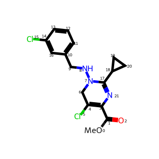 COC(=O)C1=C(Cl)CN(NCc2cccc(Cl)c2)C(C2CC2)=N1